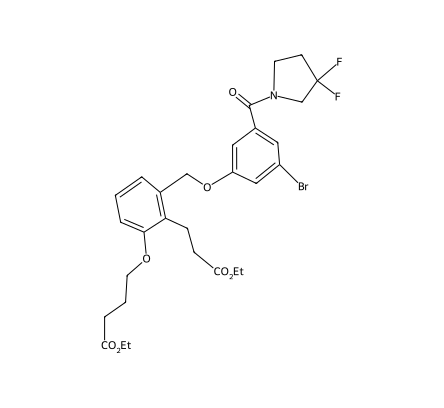 CCOC(=O)CCCOc1cccc(COc2cc(Br)cc(C(=O)N3CCC(F)(F)C3)c2)c1CCC(=O)OCC